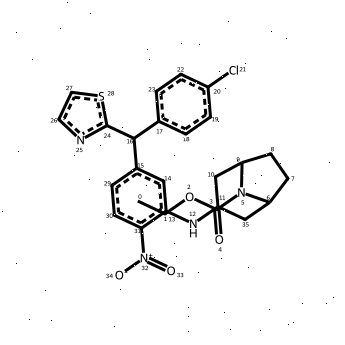 CCOC(=O)N1C2CCC1CC(Nc1cc(C(c3ccc(Cl)cc3)c3nccs3)ccc1[N+](=O)[O-])C2